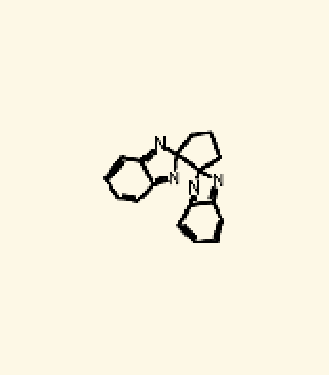 c1ccc2c(c1)=NC1(CCCC13N=c1ccccc1=N3)N=2